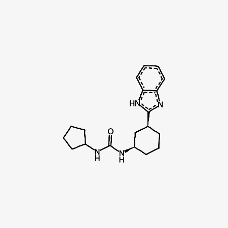 O=C(NC1CCCC1)N[C@@H]1CCC[C@H](c2nc3ccccc3[nH]2)C1